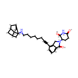 O=C1CCC(N2Cc3c(C#CCCCCCCNC45CC6CC7CC4C[C@]765)cccc3C2=O)C(=O)N1